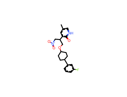 Cc1c[nH]c(=O)c(C(COC2CCC(c3cccc(F)c3)CC2)C[N+](=O)[O-])c1